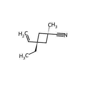 C=C[C@]1(CC)C[C@@](C)(C#N)C1